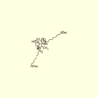 CCCCCCCCCCCCCCCCCC(=O)NC(C)C(C)(NC(=O)CCCCCCCCCCCCCCCCC)C1=NCCN1.O=S(=O)(O)O